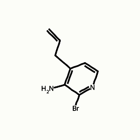 C=CCc1ccnc(Br)c1N